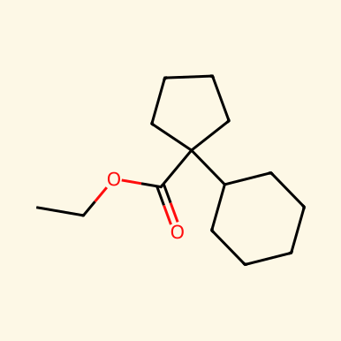 CCOC(=O)C1(C2CCCCC2)CCCC1